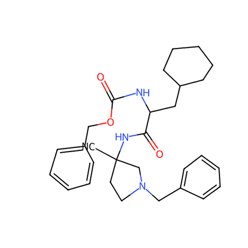 N#CC1(NC(=O)C(CC2CCCCC2)NC(=O)OCc2ccccc2)CCN(Cc2ccccc2)C1